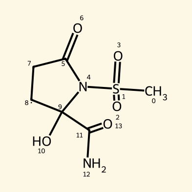 CS(=O)(=O)N1C(=O)C[CH]C1(O)C(N)=O